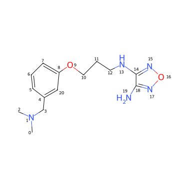 CN(C)Cc1cccc(OCCCNc2nonc2N)c1